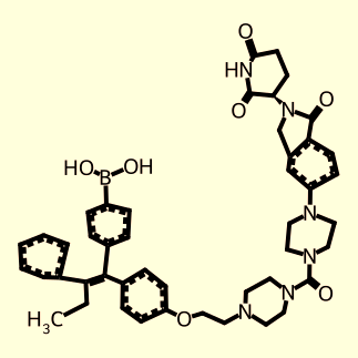 CC/C(=C(\c1ccc(OCCN2CCN(C(=O)N3CCN(c4ccc5c(c4)CN([C@@H]4CCC(=O)NC4=O)C5=O)CC3)CC2)cc1)c1ccc(B(O)O)cc1)c1ccccc1